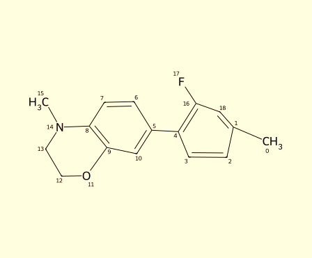 Cc1ccc(-c2ccc3c(c2)OCCN3C)c(F)c1